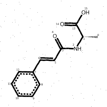 C[C@H](NC(=O)/C=C/c1ccccc1)C(=O)O